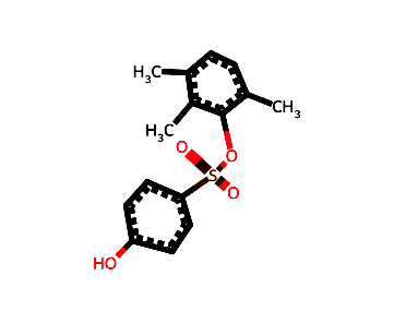 Cc1ccc(C)c(OS(=O)(=O)c2ccc(O)cc2)c1C